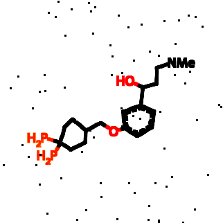 CNCCC(O)c1cccc(OCC2CCC(P)(P)CC2)c1